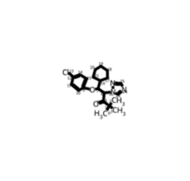 CC(C)(C)C(=O)C(C(Oc1ccc(Cl)cc1)C1CCCCC1)n1cncn1